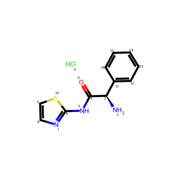 Cl.N[C@@H](C(=O)Nc1nccs1)c1ccccc1